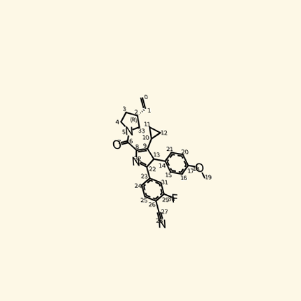 C=C[C@H]1CCN(C(=O)C2=C(C3CC3)C(c3ccc(OC)cc3)C(c3ccc(C#N)c(F)c3)=N2)C1